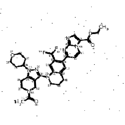 CCOC(=O)c1cnc2nc(-c3cc4c(cc3C(F)F)N(c3nn(C5CCOCC5)c5c3CN(C(C)=O)CC5)CCC4)ccn12